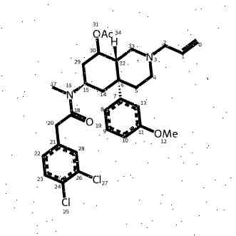 C=CCN1CC[C@@]2(c3cccc(OC)c3)C[C@@H](N(C)C(=O)Cc3ccc(Cl)c(Cl)c3)CC(OC(C)=O)[C@@H]2C1